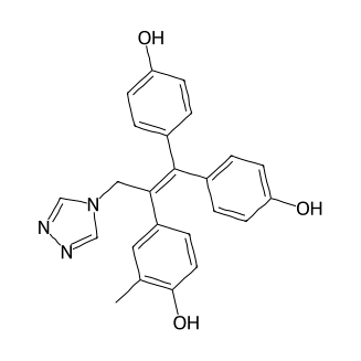 Cc1cc(C(Cn2cnnc2)=C(c2ccc(O)cc2)c2ccc(O)cc2)ccc1O